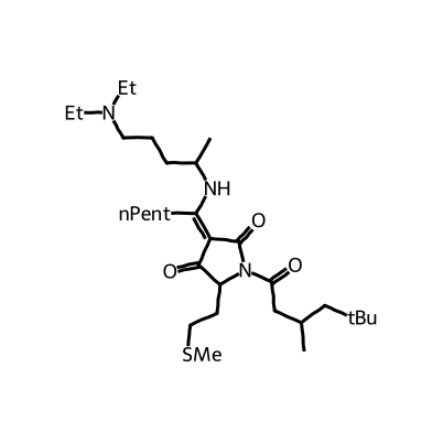 CCCCC/C(NC(C)CCCN(CC)CC)=C1\C(=O)C(CCSC)N(C(=O)CC(C)CC(C)(C)C)C1=O